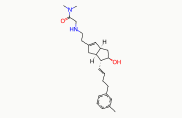 Cc1cccc(CC/C=C/[C@@H]2[C@H]3CC(CCNCC(=O)N(C)C)=C[C@H]3C[C@H]2O)c1